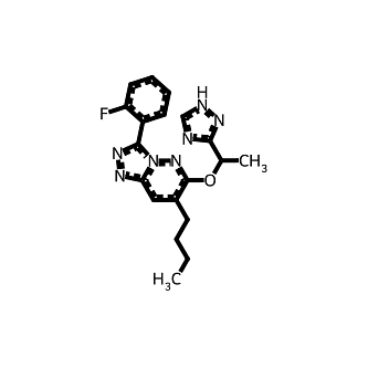 CCCCc1cc2nnc(-c3ccccc3F)n2nc1OC(C)c1nc[nH]n1